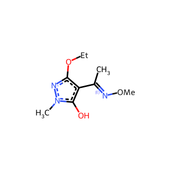 CCOc1nn(C)c(O)c1/C(C)=N/OC